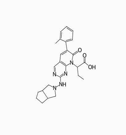 CCC(C(=O)O)n1c(=O)c(-c2ccccc2C)cc2cnc(NN3CC4CCCC4C3)nc21